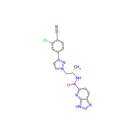 C[C@@H](Cn1ccc(-c2ccc(C#N)c(Cl)c2)n1)NC(=O)c1ccc2nc[nH]c2n1